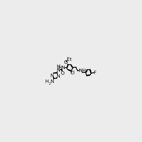 CCOc1cc(CCNCc2ccc(F)cc2)c(Cl)cc1NC(=O)Nc1cnc(N)cn1